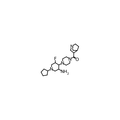 NC1CN(C2CCCC2)CC(F)C1N1CCN(C(=O)C2CN3CCC2C3)CC1